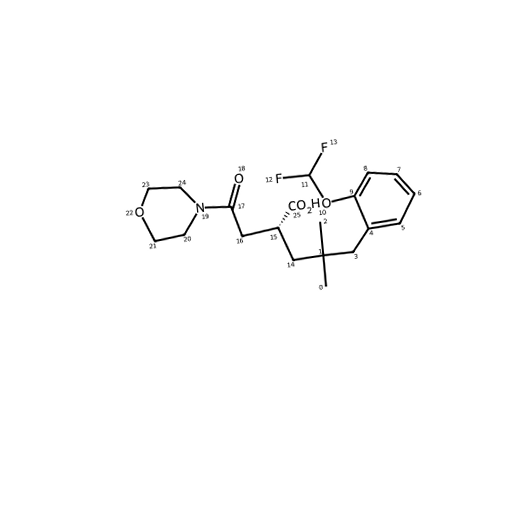 CC(C)(Cc1ccccc1OC(F)F)C[C@H](CC(=O)N1CCOCC1)C(=O)O